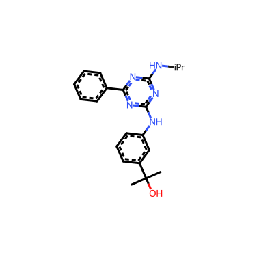 CC(C)Nc1nc(Nc2cccc(C(C)(C)O)c2)nc(-c2ccccc2)n1